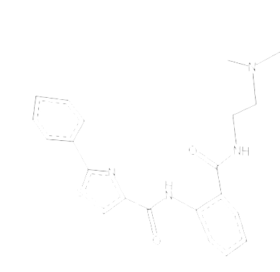 CN(C)CCNC(=O)c1ccccc1NC(=O)c1csc(-c2ccccc2)n1